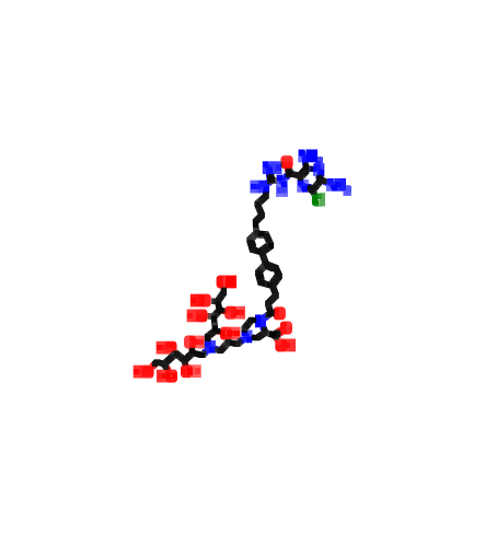 N=C(NCCCCc1ccc(-c2ccc(CCC(=O)N3CCN(CCCN(CC(O)C(O)C(O)C(O)CO)CC(O)C(O)C(O)C(O)CO)C[C@@H]3C(=O)O)cc2)cc1)NC(=O)c1nc(Cl)c(N)nc1N